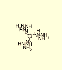 C/C(=N\NC(=N)N)c1cc(/C(C)=N/NC(=N)N)cc(/C(C)=N/NC(=N)N)c1